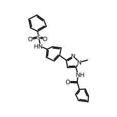 Cn1nc(-c2ccc(NS(=O)(=O)c3ccccc3)cc2)cc1NC(=O)c1ccccc1